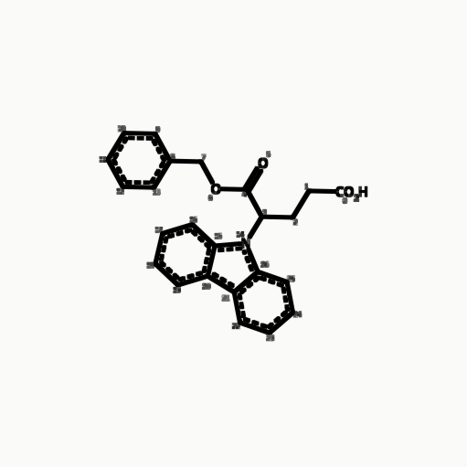 O=C(O)CCC(C(=O)OCc1ccccc1)n1c2ccccc2c2ccccc21